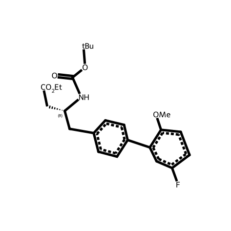 CCOC(=O)C[C@@H](Cc1ccc(-c2cc(F)ccc2OC)cc1)NC(=O)OC(C)(C)C